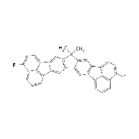 CC1(C)c2cc3c(cc2-c2cc4c(cc21)-c1ccc(F)c2cccc-4c12)-c1cccc2c(F)ccc-3c12